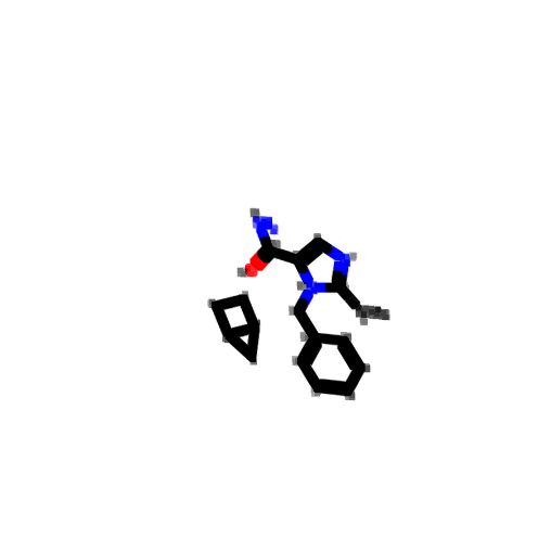 C1CC2CC12.CC(=O)Nc1ncc(C(N)=O)n1Cc1ccccc1